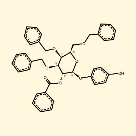 O=C(O[C@H]1[C@H](Oc2ccc(O)cc2)O[C@H](COCc2ccccc2)[C@H](OCc2ccccc2)[C@@H]1OCc1ccccc1)c1ccccc1